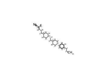 CCCc1ccc([C@H]2CC[C@H](CC[C@H]3CC[C@H](CCC=C(F)C#N)CC3)CC2)cc1